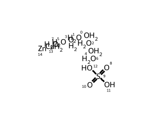 O.O.O.O.O.O.O.O.O=S(=O)(O)O.[CaH2].[Zn]